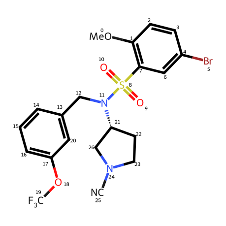 COc1ccc(Br)cc1S(=O)(=O)N(Cc1cccc(OC(F)(F)F)c1)[C@@H]1CCN(C#N)C1